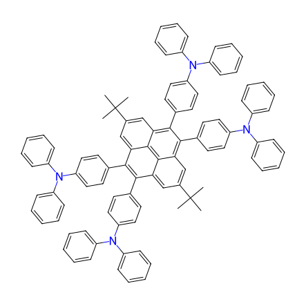 CC(C)(C)c1cc2c(-c3ccc(N(c4ccccc4)c4ccccc4)cc3)c(-c3ccc(N(c4ccccc4)c4ccccc4)cc3)c3cc(C(C)(C)C)cc4c(-c5ccc(N(c6ccccc6)c6ccccc6)cc5)c(-c5ccc(N(c6ccccc6)c6ccccc6)cc5)c(c1)c2c34